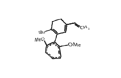 C=CC1=CC(c2c(OC)cccc2OC)=C(C(C)(C)C)CC1